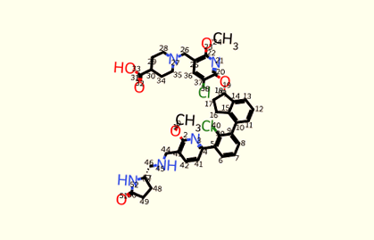 COc1nc(-c2cccc(-c3cccc4c3CC[C@@H]4Oc3nc(OC)c(CN4CCC(C(=O)O)CC4)cc3Cl)c2Cl)ccc1CNC[C@@H]1CCC(=O)N1